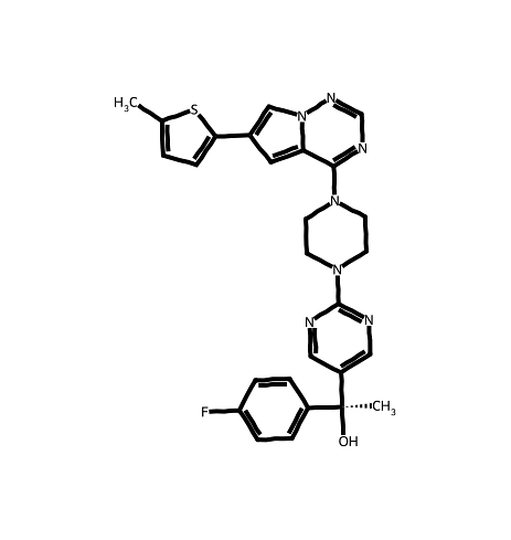 Cc1ccc(-c2cc3c(N4CCN(c5ncc([C@@](C)(O)c6ccc(F)cc6)cn5)CC4)ncnn3c2)s1